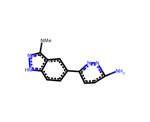 CNc1n[nH]c2ccc(-c3ccc(N)nn3)cc12